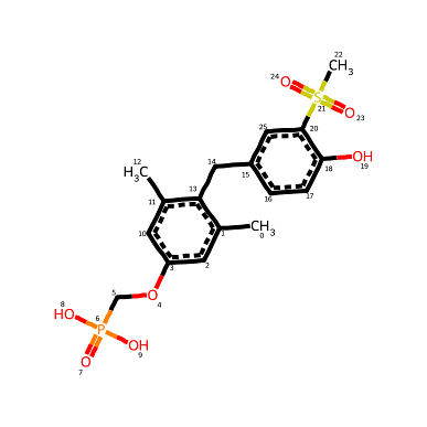 Cc1cc(OCP(=O)(O)O)cc(C)c1Cc1ccc(O)c(S(C)(=O)=O)c1